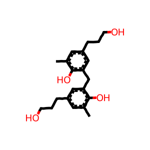 Cc1cc(CCCO)cc(Cc2cc(CCCO)cc(C)c2O)c1O